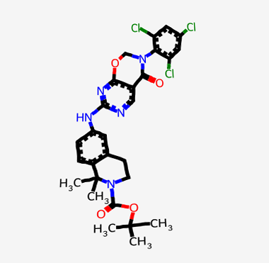 CC(C)(C)OC(=O)N1CCc2cc(Nc3ncc4c(n3)OCN(c3c(Cl)cc(Cl)cc3Cl)C4=O)ccc2C1(C)C